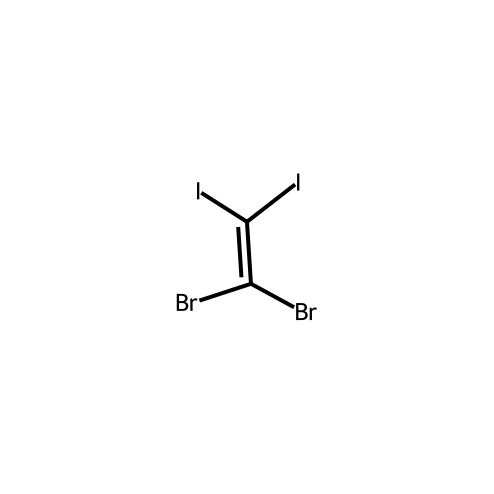 BrC(Br)=C(I)I